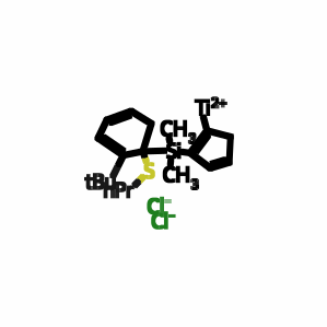 CCCSC1([Si](C)(C)C2=[C]([Ti+2])CC=C2)CC=CC=C1C(C)(C)C.[Cl-].[Cl-]